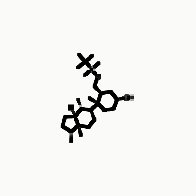 C[C@@H]1[C@@H]([C@@]2(C)CC[C@H](O)C[C@@H]2CO[Si](C)(C)C(C)(C)C)CC[C@]2(C)[C@@H](C)CC[C@@H]12